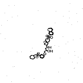 O=S(=O)(CC1CCCCC1)c1cccc(OCC(O)CNC2COC3(CCN(S(=O)(=O)c4ccc5ccccc5c4)CC3)C2)c1